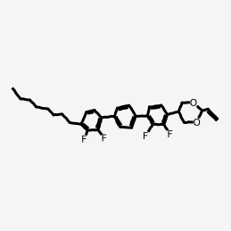 C=CC1OCC(c2ccc(-c3ccc(-c4ccc(CCCCCCCC)c(F)c4F)cc3)c(F)c2F)CO1